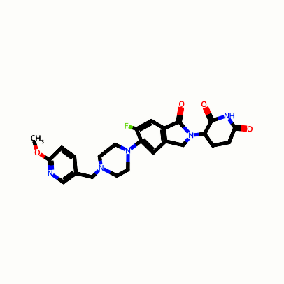 COc1ccc(CN2CCN(c3cc4c(cc3F)C(=O)N(C3CCC(=O)NC3=O)C4)CC2)cn1